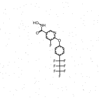 O=C(NO)c1cnc(Oc2ccc(C(F)(F)C(F)(F)C(F)(F)F)cc2)c(F)c1